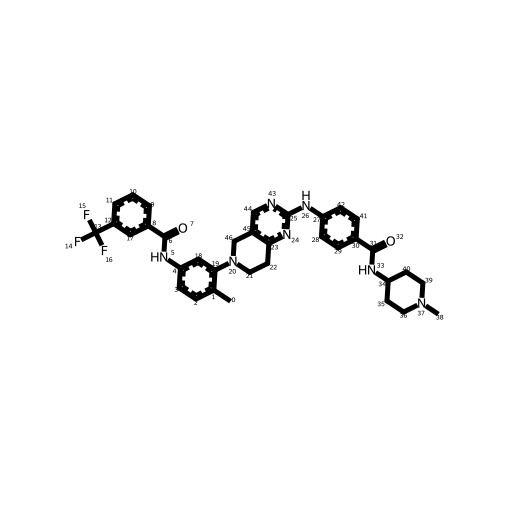 Cc1ccc(NC(=O)c2cccc(C(F)(F)F)c2)cc1N1CCc2nc(Nc3ccc(C(=O)NC4CCN(C)CC4)cc3)ncc2C1